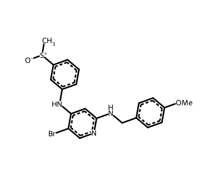 COc1ccc(CNc2cc(Nc3cccc([S+](C)[O-])c3)c(Br)cn2)cc1